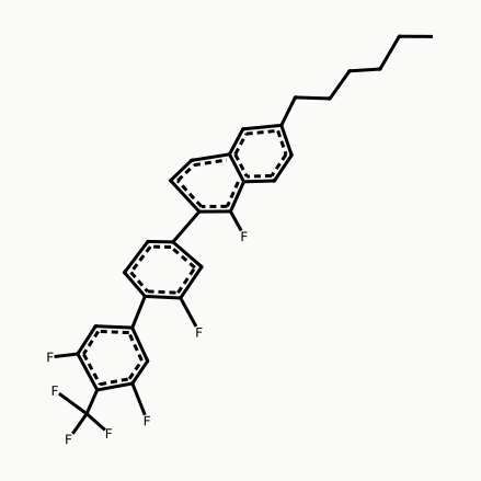 CCCCCCc1ccc2c(F)c(-c3ccc(-c4cc(F)c(C(F)(F)F)c(F)c4)c(F)c3)ccc2c1